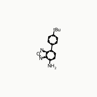 CC(C)(C)c1ccc(-c2ccc(N)c3nonc23)cc1